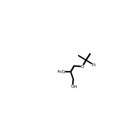 CCC(C)(C)OCC(CO)OC(C)=O